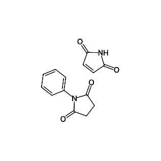 O=C1C=CC(=O)N1.O=C1CCC(=O)N1c1ccccc1